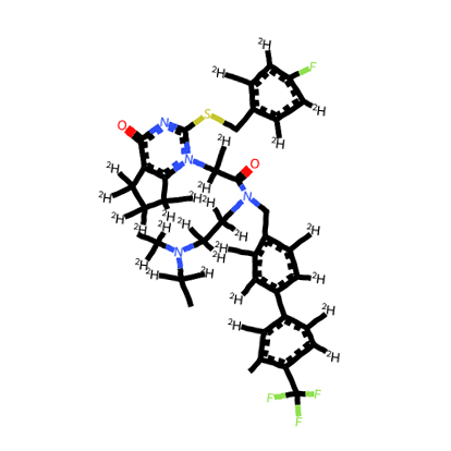 [2H]c1c([2H])c(CSc2nc(=O)c3c(n2C([2H])([2H])C(=O)N(Cc2c([2H])c([2H])c(-c4c([2H])c([2H])c(C(F)(F)F)c(C)c4[2H])c([2H])c2[2H])C([2H])([2H])C([2H])([2H])N(C([2H])([2H])C)C([2H])([2H])C)C([2H])([2H])C([2H])([2H])C3([2H])[2H])c([2H])c([2H])c1F